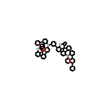 c1ccc(-c2ccc(-c3ccccc3N(c3ccccc3)c3cccc4c3-c3ccccc3C43c4ccccc4Oc4c(-c5cccc(N(c6cccc(-c7ccccc7-c7ccccc7)c6)c6ccc7c(c6)C6(c8ccccc8Oc8ccccc86)c6ccccc6-7)c5)cccc43)cc2)cc1